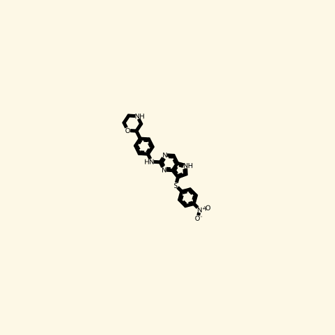 O=[N+]([O-])c1ccc(Sc2c[nH]c3cnc(Nc4ccc(C5CNCCO5)cc4)nc23)cc1